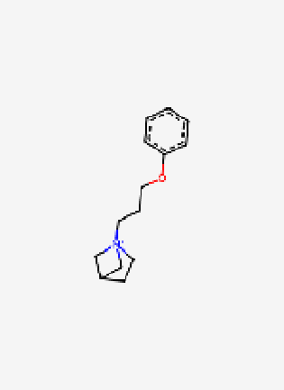 c1ccc(OCCC[N+]23CCC(C2)C3)cc1